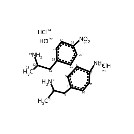 CC(N)Cc1ccc(N)cc1.CC(N)Cc1ccc([N+](=O)[O-])cc1.Cl.Cl.Cl